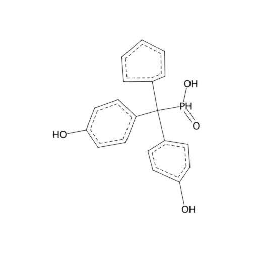 O=[PH](O)C(c1ccccc1)(c1ccc(O)cc1)c1ccc(O)cc1